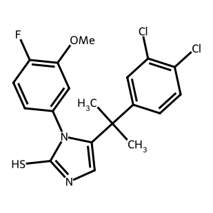 COc1cc(-n2c(C(C)(C)c3ccc(Cl)c(Cl)c3)cnc2S)ccc1F